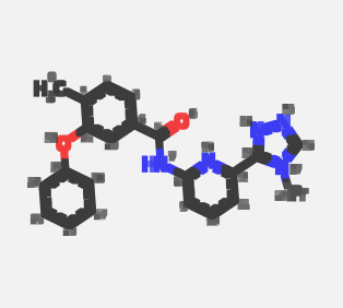 Cc1ccc(C(=O)Nc2cccc(-c3nncn3C(C)C)n2)cc1Oc1ccccc1